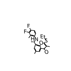 CCSc1oc2c([C@@H](C)Nc3ccc(F)c(F)c3C)cc(C)cc2c(=O)c1C